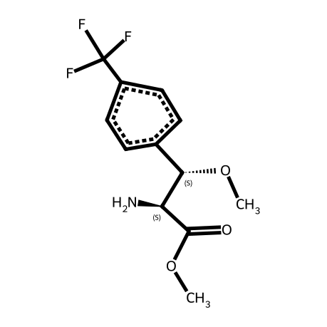 COC(=O)[C@@H](N)[C@@H](OC)c1ccc(C(F)(F)F)cc1